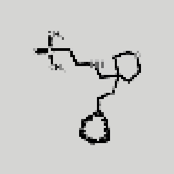 CP(C)(=S)CCNCC1(SCc2ccccc2)CCOCC1